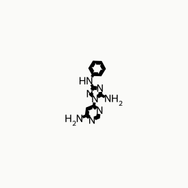 Nc1cc(-n2nc(Nc3ccccc3)nc2N)ncn1